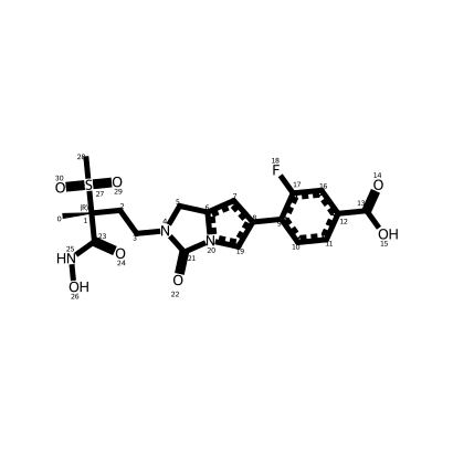 C[C@@](CCN1Cc2cc(-c3ccc(C(=O)O)cc3F)cn2C1=O)(C(=O)NO)S(C)(=O)=O